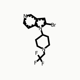 FC(F)(F)CN1CCC(n2c(Br)cc3cnccc32)CC1